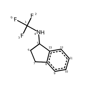 FC(F)(F)NC1CCc2ccccc21